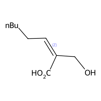 CCCCC/C=C(/CO)C(=O)O